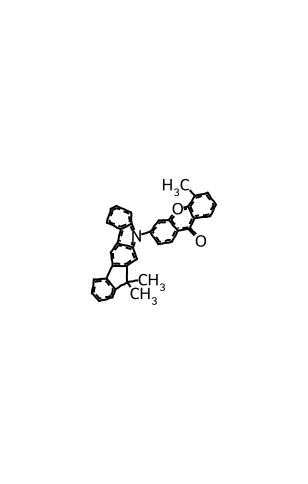 Cc1cccc2c(=O)c3ccc(-n4c5ccccc5c5cc6c(cc54)C(C)(C)c4ccccc4-6)cc3oc12